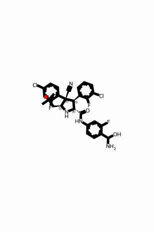 CC(C)(C)C[C@@H]1N[C@@H](C(=O)Nc2ccc(C(N)O)c(F)c2)[C@H](c2cccc(Cl)c2F)[C@@]1(C#N)c1ccc(Cl)cc1F